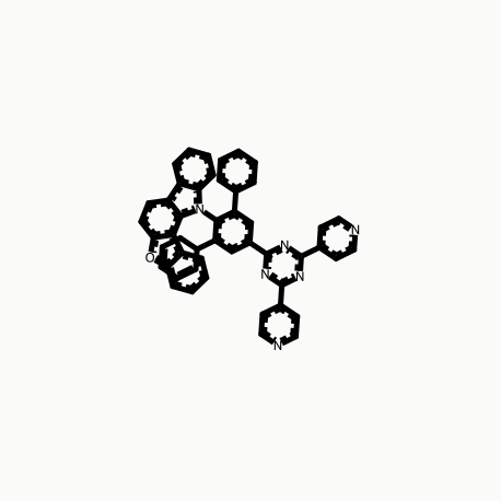 C1=CCC(c2cc(-c3nc(-c4ccncc4)nc(-c4ccncc4)n3)cc(-c3ccccc3)c2-n2c3ccccc3c3ccc4oc5ccccc5c4c32)C=C1